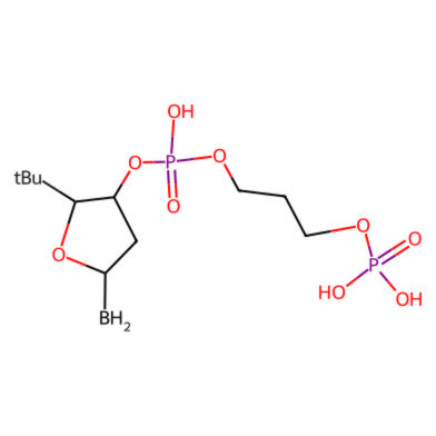 BC1CC(OP(=O)(O)OCCCOP(=O)(O)O)C(C(C)(C)C)O1